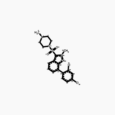 CN1CCN(S(=O)(=O)c2c3cccc(-c4ccc(Cl)cc4Cl)c3nn2C)CC1